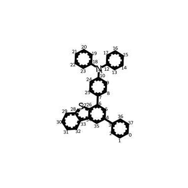 c1ccc(-c2cc(-c3ccc(N(c4ccccc4)c4ccccc4)cc3)c3sc4ccccc4c3c2)cc1